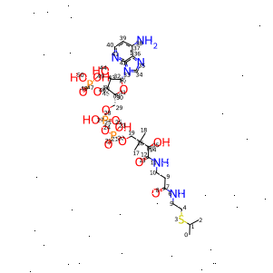 CC(C)SCCNC(=O)CCNC(=O)[C@H](O)C(C)(C)COP(=O)(O)OP(=O)(O)OC[C@H]1O[C@@H](n2cnc3c(N)ccnc32)C(O)[C@H]1OP(=O)(O)O